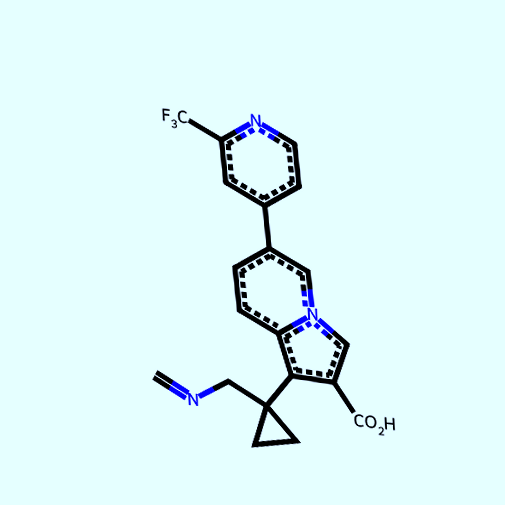 C=NCC1(c2c(C(=O)O)cn3cc(-c4ccnc(C(F)(F)F)c4)ccc23)CC1